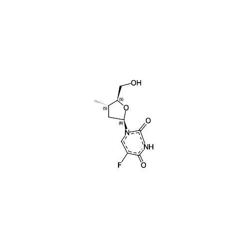 C[C@H]1C[C@H](n2cc(F)c(=O)[nH]c2=O)O[C@@H]1CO